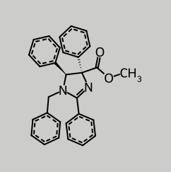 COC(=O)[C@@]1(c2ccccc2)N=C(c2ccccc2)N(Cc2ccccc2)[C@H]1c1ccccc1